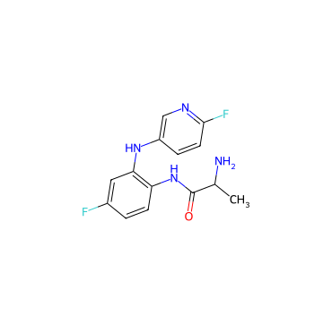 CC(N)C(=O)Nc1ccc(F)cc1Nc1ccc(F)nc1